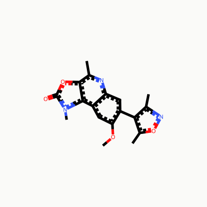 COc1cc2c(cc1-c1c(C)noc1C)nc(C)c1oc(=O)n(C)c12